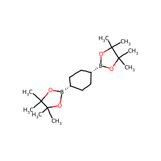 CC1(C)OB([C@H]2CC[C@@H](B3OC(C)(C)C(C)(C)O3)CC2)OC1(C)C